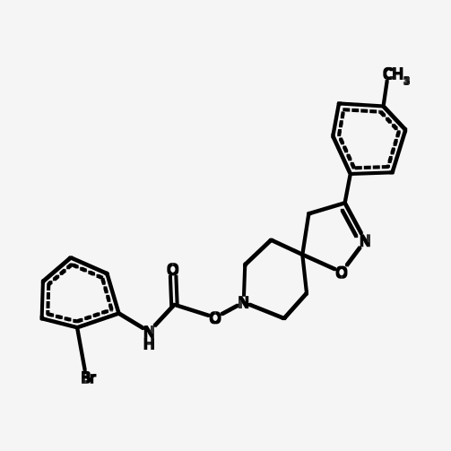 Cc1ccc(C2=NOC3(CCN(OC(=O)Nc4ccccc4Br)CC3)C2)cc1